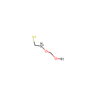 CCOCO[SiH2]CS